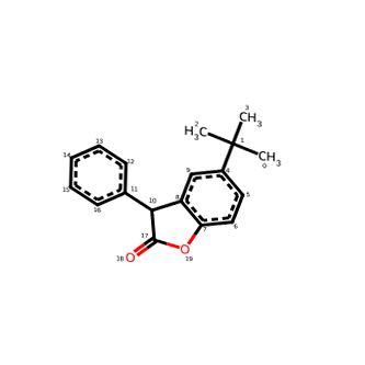 CC(C)(C)c1ccc2c(c1)C(c1ccccc1)C(=O)O2